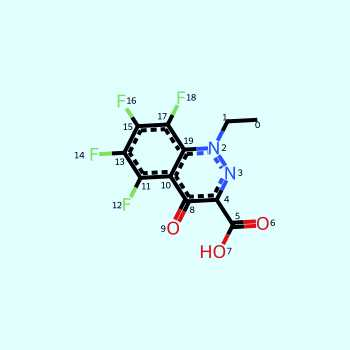 CCn1nc(C(=O)O)c(=O)c2c(F)c(F)c(F)c(F)c21